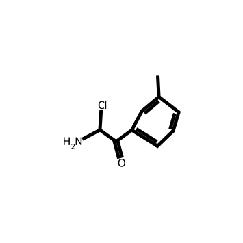 Cc1cccc(C(=O)C(N)Cl)c1